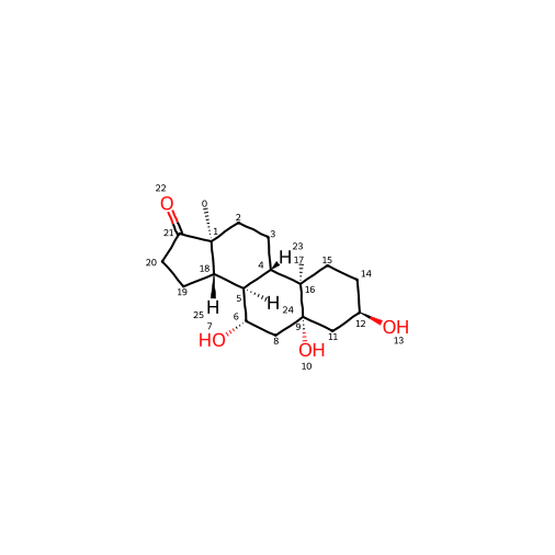 C[C@]12CC[C@H]3[C@@H]([C@@H](O)C[C@]4(O)C[C@H](O)CC[C@]34C)[C@@H]1CCC2=O